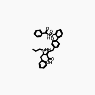 CCCN1NC(Cc2ccc(-c3ccccc3S(=O)(=O)NC(=O)c3ccccc3)cc2)=C(C(=O)O)C1Cc1ccccc1